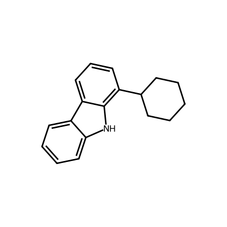 c1ccc2c(c1)[nH]c1c(C3CCCCC3)cccc12